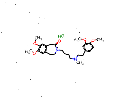 COc1ccc(CCN(C)CCCCN2CCc3cc(OC)c(OC)cc3CC2=O)cc1OC.Cl